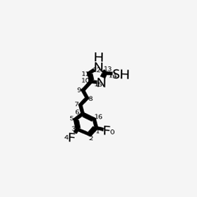 Fc1cc(F)cc(CCCc2c[nH]c(S)n2)c1